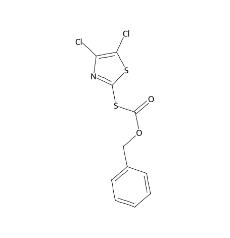 O=C(OCc1ccccc1)Sc1nc(Cl)c(Cl)s1